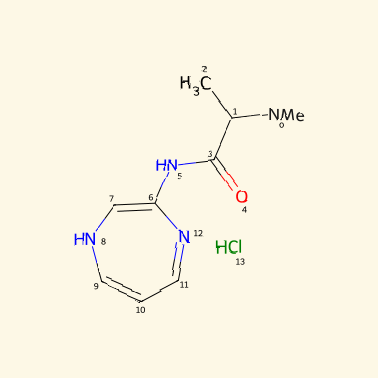 CNC(C)C(=O)NC1=CNC=CC=N1.Cl